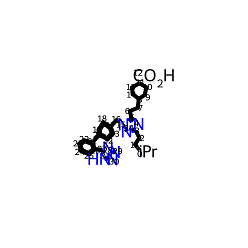 CC(C)CCc1nc(CCC2CCC(C(=O)O)CC2)n(Cc2ccc(-c3ccccc3-c3nnn[nH]3)cc2)n1